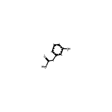 CNC(=O)Cc1cccc(O)c1